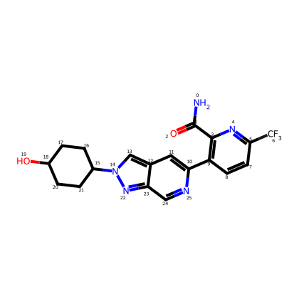 NC(=O)c1nc(C(F)(F)F)ccc1-c1cc2cn(C3CCC(O)CC3)nc2cn1